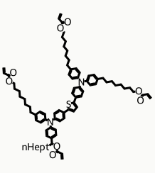 C=CC(=O)OCCCCCCCCc1ccc(N(c2ccc(CCCCCCCCOC(=O)C=C)cc2)c2ccc(-c3ccc(-c4ccc(N(c5ccc(CCCCCCCCOC(=O)C=C)cc5)c5ccc(C(CCCCCCC)OC(=O)C=C)cc5)cc4)s3)cc2)cc1